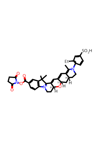 CCc1cc(S(=O)(=O)O)ccc1N1CC[C@@H]2C[C@@H]3O[C@@H]4CC[N+]5=C(C4=CC3=CC2=C1C)C(C)(C)c1cc(C(=O)ON2C(=O)CCC2=O)ccc15